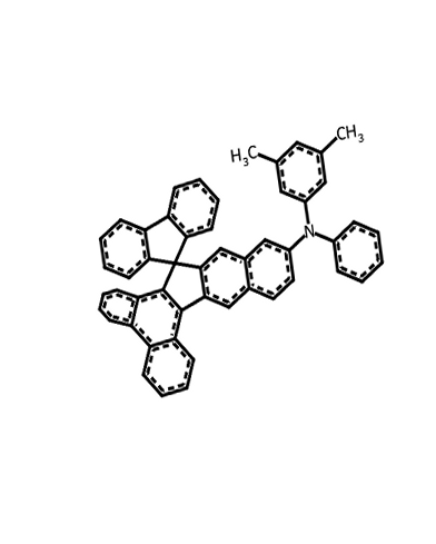 Cc1cc(C)cc(N(c2ccccc2)c2ccc3cc4c(cc3c2)C2(c3ccccc3-c3ccccc32)c2c-4c3ccccc3c3ccccc23)c1